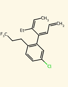 C=C/C=C(\C(=C/C)CC)c1cc(Cl)ccc1CCC(F)(F)F